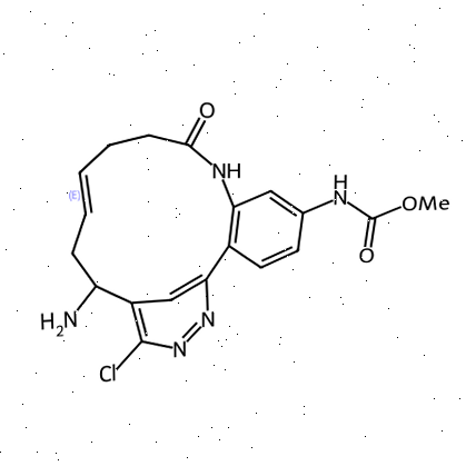 COC(=O)Nc1ccc2c(c1)NC(=O)CC/C=C/CC(N)c1cc-2nnc1Cl